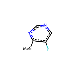 CNc1ncncc1F